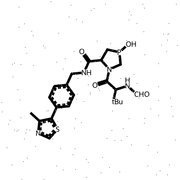 Cc1ncsc1-c1ccc(CNC(=O)C2CP(O)CN2C(=O)C(NC=O)C(C)(C)C)cc1